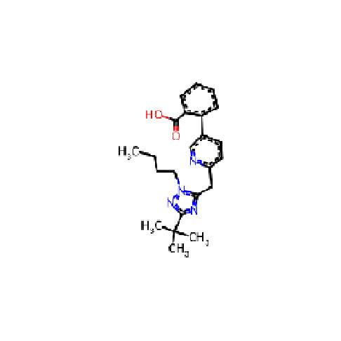 CCCCn1nc(C(C)(C)C)nc1Cc1ccc(-c2ccccc2C(=O)O)cn1